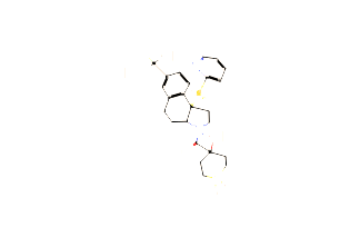 O=C(N1CCC2(S(=O)(=O)c3ccccn3)c3ccc(C(F)(C(F)(F)F)C(F)(F)F)cc3CCC12)C1(O)CCS(=O)(=O)CC1